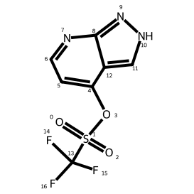 O=S(=O)(Oc1ccnc2n[nH]cc12)C(F)(F)F